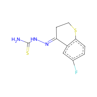 NC(=S)NN=C1CCSc2ccc(F)cc21